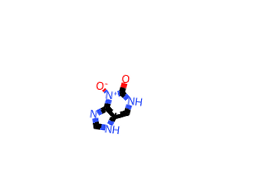 O=c1[nH]cc2[nH]cnc2[n+]1[O-]